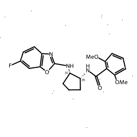 COc1cccc(OC)c1C(=O)N[C@@H]1CCC[C@@H]1Nc1nc2ccc(F)cc2o1